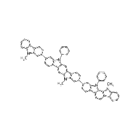 Cn1c2cc(-c3ccc4c5ccc6c7ccccc7n(C)c6c5n(-c5ccccc5)c4c3)ccc2c2cc3c(cc21)c1ccc(-c2ccc4c5cccnc5n(C)c4c2)cc1n3-c1ccccc1